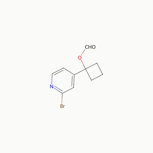 O=COC1(c2ccnc(Br)c2)CCC1